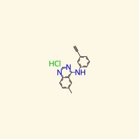 C#Cc1cccc(Nc2ncnc3ccc(C)cc23)c1.Cl